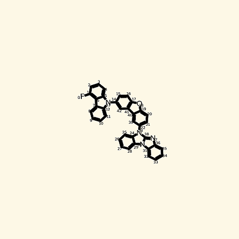 Fc1cccc2c1c1ccccc1n2-c1ccc2oc3ccc(-n4c5ccccc5n5c6ccccc6nc45)cc3c2c1